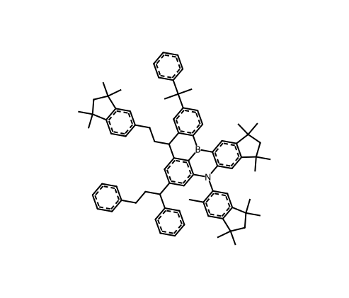 Cc1cc2c(cc1N1c3cc4c(cc3B3c5ccc(C(C)(C)c6ccccc6)cc5C(CCc5ccc6c(c5)C(C)(C)CC6(C)C)c5cc(C(CCc6ccccc6)c6ccccc6)cc1c53)C(C)(C)CC4(C)C)C(C)(C)CC2(C)C